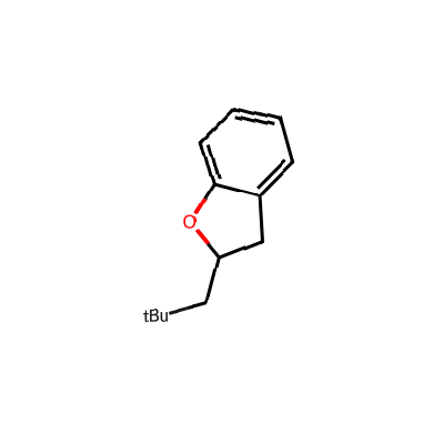 CC(C)(C)CC1Cc2ccccc2O1